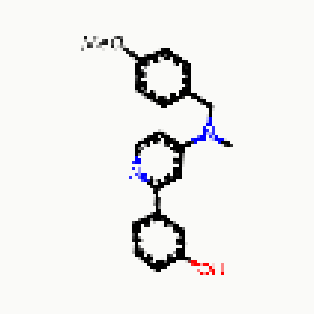 COc1ccc(CN(C)c2ccnc(-c3cccc(O)c3)c2)cc1